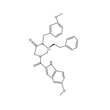 COc1cccc(CN2C(=O)CN(C(=O)c3cc4cc(OC)ccc4[nH]3)C[C@@H]2CCc2ccccc2)c1